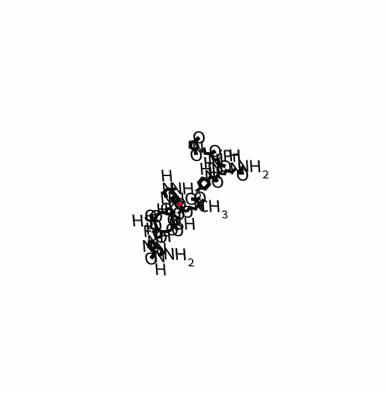 CC(C)[C@H](NC(=O)CCN1C(=O)C=CC1=O)C(=O)N[C@@H](CCCNC(N)=O)C(=O)Nc1ccc(COC(=O)N(C)CCOC(=O)O[C@@H]2[C@@H]3O[P@](=O)(S)OC[C@H]4O[C@@H](n5cnc6c(=O)[nH]c(N)nc65)[C@H](F)[C@@H]4O[P@@](=O)(S)OC[C@H]3O[C@H]2n2cnc3c2N=CNC3N)cc1